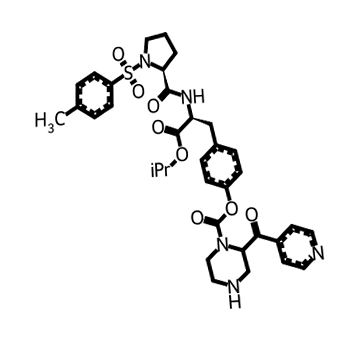 Cc1ccc(S(=O)(=O)N2CCC[C@H]2C(=O)N[C@@H](Cc2ccc(OC(=O)N3CCNCC3C(=O)c3ccncc3)cc2)C(=O)OC(C)C)cc1